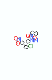 CN1C(=O)COc2cc(-c3cccc(Cl)c3-c3ccc4c(=O)n(-c5cccc6ccccc56)c(=O)[nH]c4c3)ccc21